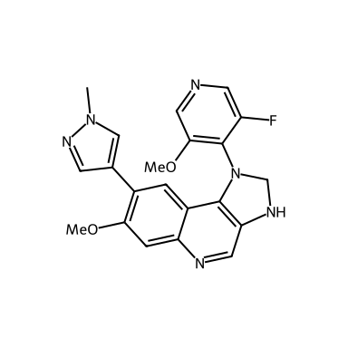 COc1cc2ncc3c(c2cc1-c1cnn(C)c1)N(c1c(F)cncc1OC)CN3